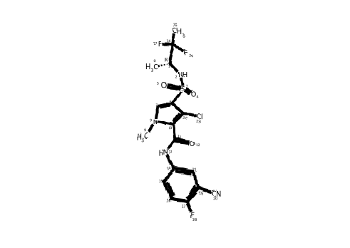 C[C@@H](NS(=O)(=O)c1cn(C)c(C(=O)Nc2ccc(F)c(C#N)c2)c1Cl)C(C)(F)F